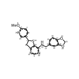 COc1ccc(C2Cc3ncnc(NCc4ccc5c(c4)OCO5)c3S2)cn1